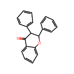 O=C1c2ccccc2OC(c2ccccc2)C1c1ccccc1